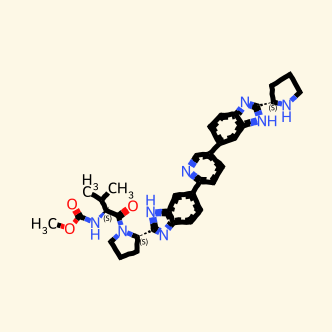 COC(=O)N[C@H](C(=O)N1CCC[C@H]1c1nc2ccc(-c3ccc(-c4ccc5nc([C@@H]6CCCN6)[nH]c5c4)cn3)cc2[nH]1)C(C)C